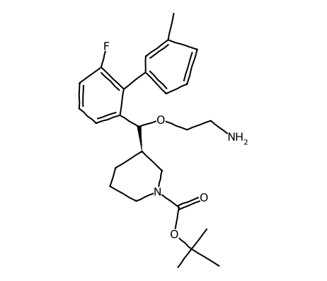 Cc1cccc(-c2c(F)cccc2C(OCCN)[C@@H]2CCCN(C(=O)OC(C)(C)C)C2)c1